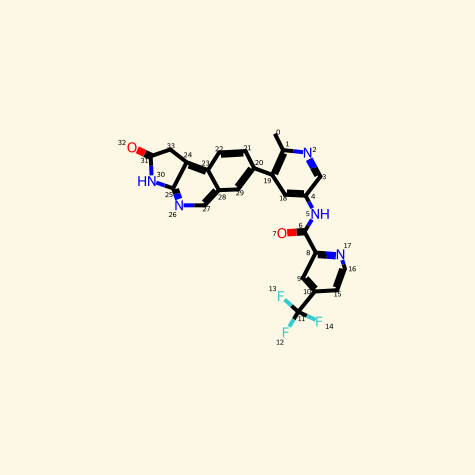 Cc1ncc(NC(=O)c2cc(C(F)(F)F)ccn2)cc1-c1ccc2c3c(ncc2c1)NC(=O)C3